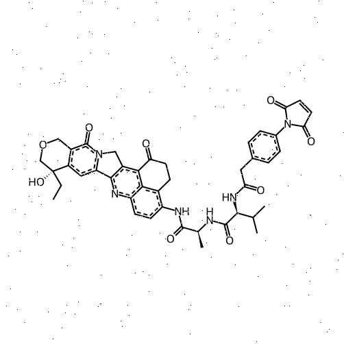 CC[C@@]1(O)COCc2c1cc1n(c2=O)Cc2c-1nc1ccc(NC(=O)[C@H](C)NC(=O)[C@@H](NC(=O)Cc3ccc(N4C(=O)C=CC4=O)cc3)C(C)C)c3c1c2C(=O)CC3